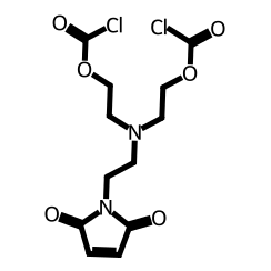 O=C(Cl)OCCN(CCOC(=O)Cl)CCN1C(=O)C=CC1=O